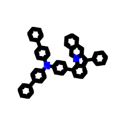 c1ccc(-c2ccc(N(c3ccc(-c4ccccc4)cc3)c3ccc(-c4cccc5c(-c6ccccc6)c6cc7ccccc7cn6c45)cc3)cc2)cc1